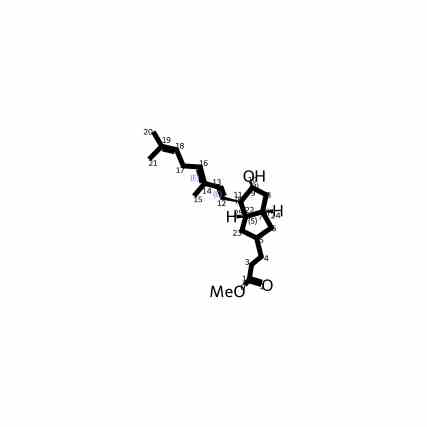 COC(=O)CCC1C[C@H]2C[C@@H](O)[C@H](/C=C/C(C)=C/CC=C(C)C)[C@H]2C1